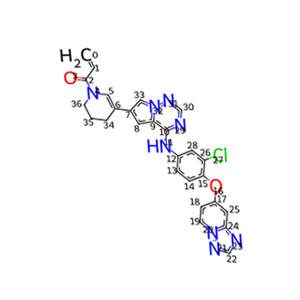 C=CC(=O)N1C=C(c2cc3c(Nc4ccc(Oc5ccn6ncnc6c5)c(Cl)c4)ncnn3c2)CCC1